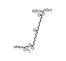 CCCCCCCCC(CCCCCCCC)OC(=O)CCCCCCCC(=O)CCCCCCCC(=O)OCCC(C)CCCCCC